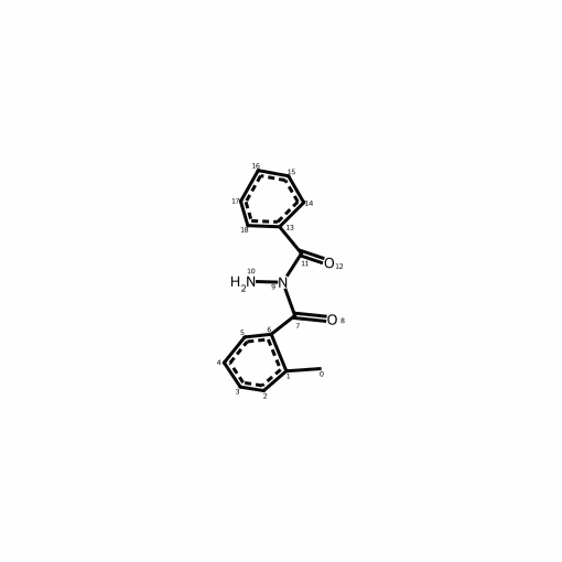 Cc1ccccc1C(=O)N(N)C(=O)c1ccccc1